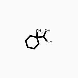 CCCC(O)C1(C)CCCCC1